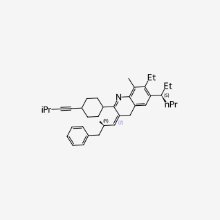 CCC[C@H](CC)c1cc2c(c(C)c1CC)N=C(C1CCC(C#CC(C)C)CC1)/C(=C\[C@H](C)Cc1ccccc1)C2